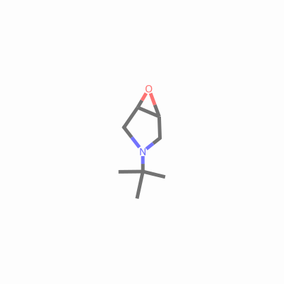 CC(C)(C)N1CC2OC2C1